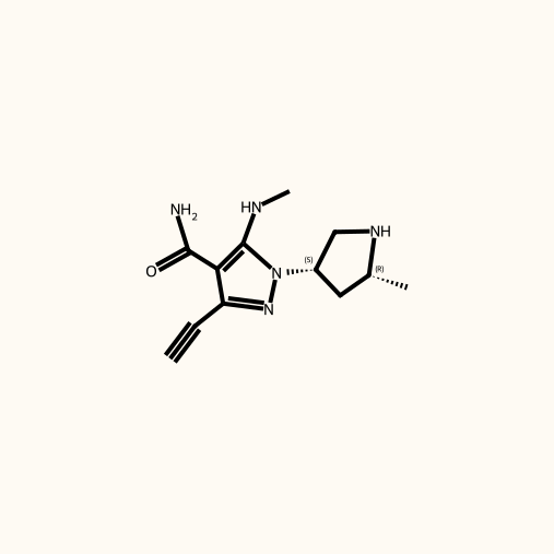 C#Cc1nn([C@@H]2CN[C@H](C)C2)c(NC)c1C(N)=O